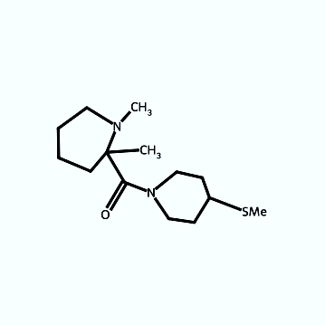 CSC1CCN(C(=O)C2(C)CCCCN2C)CC1